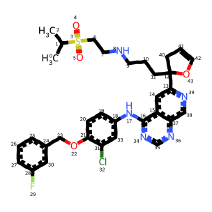 CC(C)S(=O)(=O)CCNCCCC1(c2cc3c(Nc4ccc(OCc5cccc(F)c5)c(Cl)c4)ncnc3cn2)CC=CO1